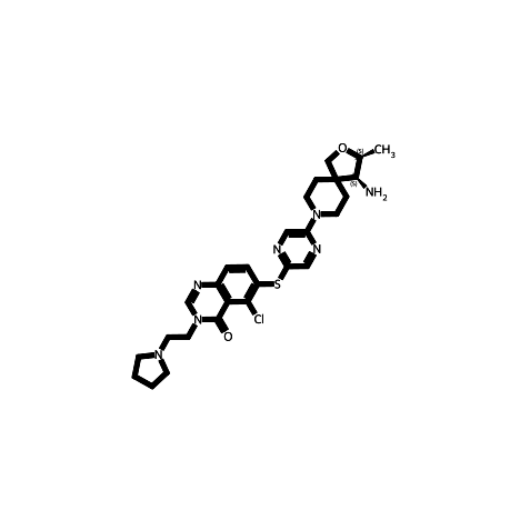 C[C@@H]1OCC2(CCN(c3cnc(Sc4ccc5ncn(CCN6CCCC6)c(=O)c5c4Cl)cn3)CC2)[C@@H]1N